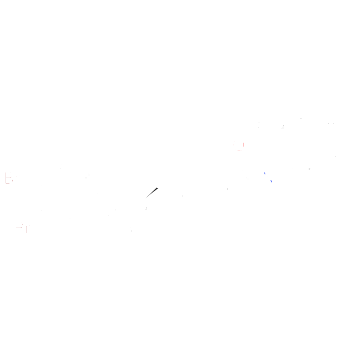 CC(/C=C/[C@H]1C[C@@H]1c1ccc(Br)c(Br)c1)=C\C(=O)Nc1ccccc1C